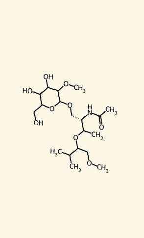 COCC(OC(C)[C@H](COC1OC(CO)C(O)C(O)C1OC)NC(C)=O)C(C)C